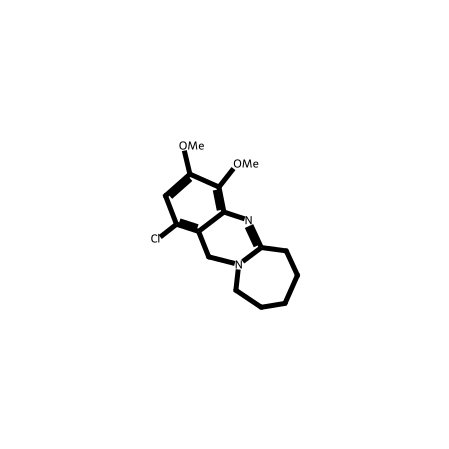 COc1cc(Cl)c2c(c1OC)N=C1CCCCCN1C2